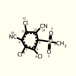 CS(=O)(=O)c1c(Cl)c(Cl)c(C#N)c(Cl)c1C#N